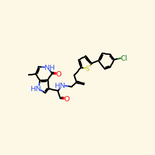 C=C(CNC(C=O)c1c[nH]c2c(C)c[nH]c(=O)c12)Cc1ccc(-c2ccc(Cl)cc2)s1